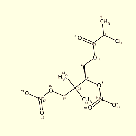 CC(Cl)C(=O)OC[C@@H](O[N+](=O)[O-])C(C)(C)CO[N+](=O)[O-]